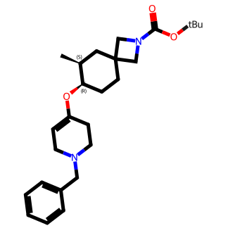 C[C@H]1CC2(CC[C@H]1OC1=CCN(Cc3ccccc3)CC1)CN(C(=O)OC(C)(C)C)C2